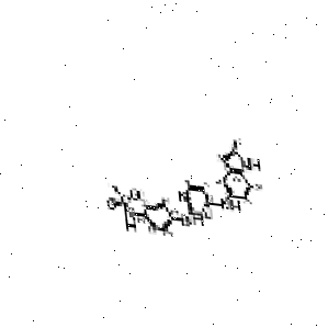 Cc1cc2cc(Nc3ccnc(Nc4ccc(NS(C)(=O)=O)cc4)n3)ccc2[nH]1